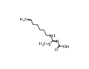 C=CCCCCCN/C(=N/C(=O)O)SC